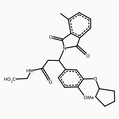 COc1ccc(C(CC(=O)NCC(=O)O)N2C(=O)c3cccc(C)c3C2=O)cc1OC1CCCC1